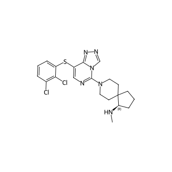 CN[C@@H]1CCCC12CCN(c1ncc(Sc3cccc(Cl)c3Cl)c3nncn13)CC2